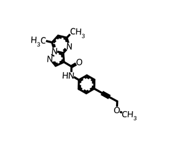 COCC#Cc1ccc(NC(=O)c2cnn3c(C)cc(C)nc23)cc1